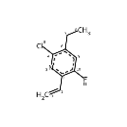 C=Cc1nc(Cl)c(CC)cc1F